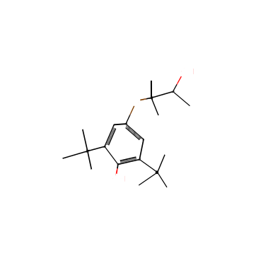 [CH2]C(O)C(C)(C)Sc1cc(C(C)(C)C)c(O)c(C(C)(C)C)c1